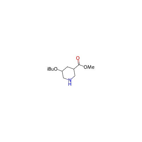 COC(=O)C1CNCC(OCC(C)C)C1